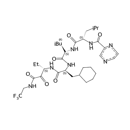 CC[C@H](NC(=O)[C@H](CC1CCCCC1)NC(=O)[C@@H](NC(=O)[C@H](CC(C)C)NC(=O)c1cnccn1)[C@H](C)CC)C(=O)C(=O)NCC(F)(F)F